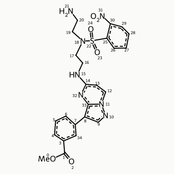 COC(=O)c1cccc(-c2cnn3ccc(NCCN(CCN)S(=O)(=O)c4ccccc4[N+](=O)[O-])nc23)c1